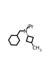 CC(C)N(CC1CCCCC1)[C@H]1C[C@H](C)C1